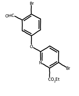 CCOC(=O)c1nc(Oc2ccc(Br)c(C=O)c2)ccc1Br